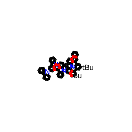 CC(C)(C)c1cc(-c2ccccc2)c(N2c3cc(-c4ccccc4)ccc3B3c4ccc(-n5c6ccccc6c6cc(-n7c8ccccc8c8ccccc87)ccc65)cc4N(c4ccccc4-c4ccccc4)c4cc(C(C)(C)C)cc2c43)c(-c2ccccc2)c1